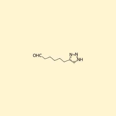 O=CCCCCCc1c[nH]nn1